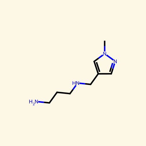 Cn1cc(CNCCCN)cn1